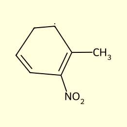 CC1=C([N+](=O)[O-])C=CC[CH]1